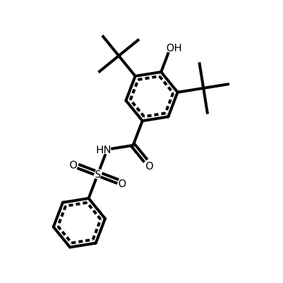 CC(C)(C)c1cc(C(=O)NS(=O)(=O)c2ccccc2)cc(C(C)(C)C)c1O